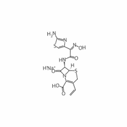 C=CC1=C(C(=O)O)N2C(=O)[C@@H](NC(=O)/C(=N\O)c3csc(N)n3)[C@H]2SC1.[H+].[Na+]